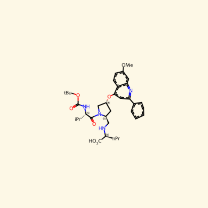 CCC[C@H](NC[C@@H]1C[C@@H](Oc2cc(-c3ccccc3)nc3cc(OC)ccc23)CN1C(=O)[C@@H](NC(=O)OC(C)(C)C)C(C)C)C(=O)O